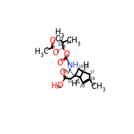 CC(=O)O[C@@H](OC(=O)NC[C@]1(CC(=O)O)C[C@H]2CC(C)=C[C@H]21)C(C)C